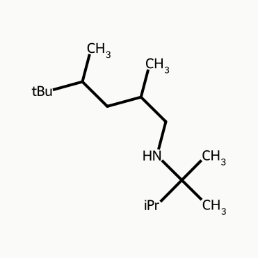 CC(CNC(C)(C)C(C)C)CC(C)C(C)(C)C